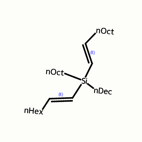 CCCCCC/C=C/[Si](/C=C/CCCCCCCC)(CCCCCCCC)CCCCCCCCCC